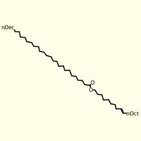 CCCCCCCC/C=C/CCCCCCCCOC(=O)CCCCCCCCCCCCCCCCCCCCCCCCCCCCCCCCC